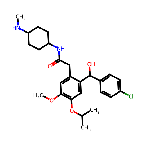 CNC1CCC(NC(=O)Cc2cc(OC)c(OC(C)C)cc2C(O)c2ccc(Cl)cc2)CC1